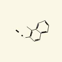 O=C=Nc1ccc2ccccc2c1Br